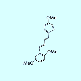 COc1ccc(C=CC=Cc2cc(OC)ccc2OC)cc1